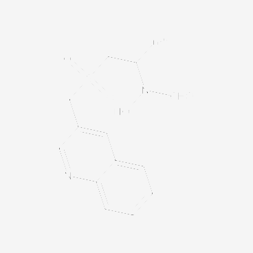 CCCC(CS(=O)(=O)Cc1cnc2ccccc2c1)N(O)C=O